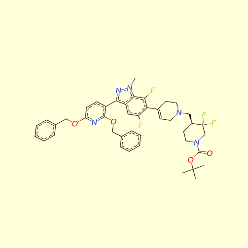 Cn1nc(-c2ccc(OCc3ccccc3)nc2OCc2ccccc2)c2cc(F)c(C3=CCN(C[C@@H]4CCN(C(=O)OC(C)(C)C)CC4(F)F)CC3)c(F)c21